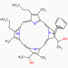 CC1=C(CCC(=O)O)c2cc3[nH]c(cc4nc(cc5c(C(C)O)c(C)c(cc1n2)n5Cc1ccccc1)C(C)=C4C(C)O)c(C)c3CCC(=O)O